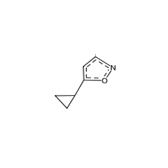 [c]1cc(C2CC2)on1